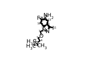 CS(C)(C)CCOCn1nc(I)c2cc(N)c(F)cc21